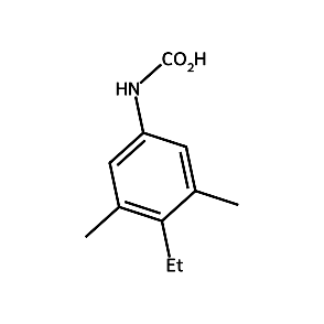 CCc1c(C)cc(NC(=O)O)cc1C